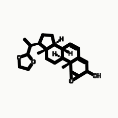 CC(C1OCCO1)[C@H]1CC[C@H]2[C@@H]3C=CC4=CC(O)C5OC5[C@]4(C)[C@H]3CC[C@]12C